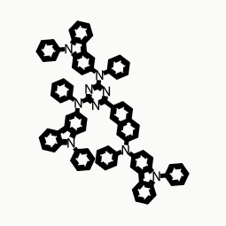 c1ccc(N(c2ccc3ccc(-c4nc(N(c5ccccc5)c5ccc6c(c5)c5ccccc5n6-c5ccccc5)nc(N(c5ccccc5)c5ccc6c(c5)c5ccccc5n6-c5ccccc5)n4)cc3c2)c2ccc3c(c2)c2ccccc2n3-c2ccccc2)cc1